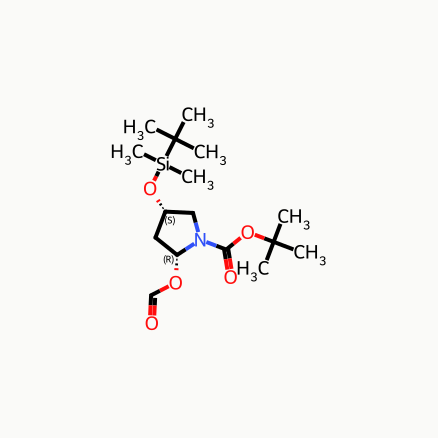 CC(C)(C)OC(=O)N1C[C@@H](O[Si](C)(C)C(C)(C)C)C[C@H]1OC=O